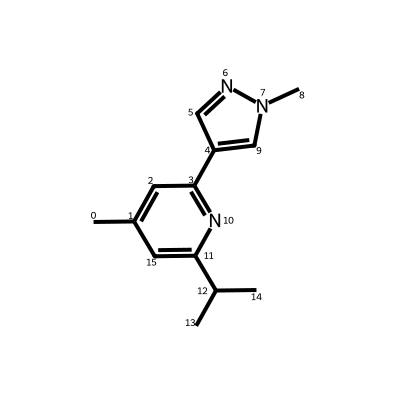 Cc1cc(-c2cnn(C)c2)nc(C(C)C)c1